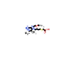 CCOCc1nc2c(c(C)c(C)n3nnnc23)n1CCCCSCC(=O)O